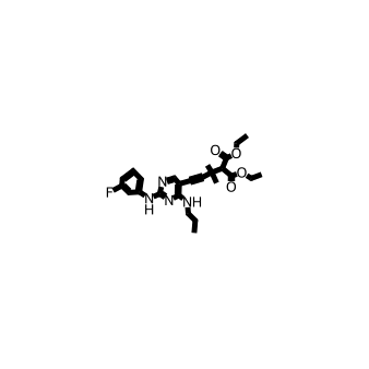 CCCNc1nc(Nc2cccc(F)c2)ncc1C#CC(C)(C)C(C(=O)OCC)C(=O)OCC